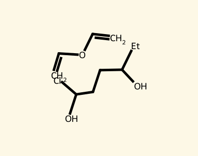 C=COC=C.CCC(O)CCC(O)Cl